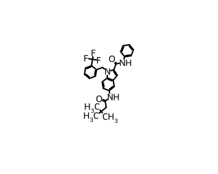 CC(C)(C)CC(=O)Nc1ccc2c(c1)cc(C(=O)Nc1ccccc1)n2Cc1ccccc1C(F)(F)F